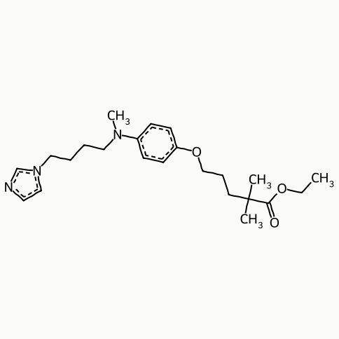 CCOC(=O)C(C)(C)CCCOc1ccc(N(C)CCCCn2ccnc2)cc1